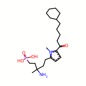 Cn1c(CCC(C)(N)CCP(=O)(O)O)ccc1C(=O)CCCCC1CCCCC1